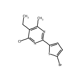 CCc1c(C)nc(-c2ccc(Br)s2)nc1Cl